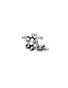 Nc1ncnc2nc[nH]c12.O=CC(O)C(O)C(O)CO.O=P(O)(O)OP(=O)(O)O